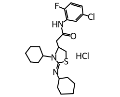 Cl.O=C(CC1CSC(=NC2CCCCC2)N1C1CCCCC1)Nc1cc(Cl)ccc1F